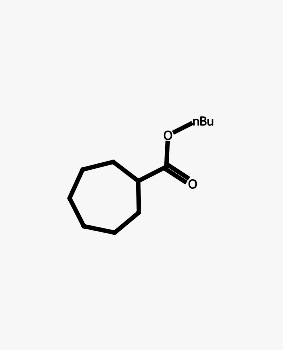 [CH2]CCCOC(=O)C1CCCCCC1